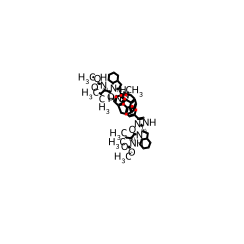 COC(=O)N[C@H](C(=O)N1C2CCCCC2C[C@H]1c1nc(-c2ccc(-c3cc4ccc3CCc3ccc(c(-c5c[nH]c([C@@H]6CC7CCCCC7N6C(=O)[C@@H](NC(=O)OC)C(C)C)n5)c3)C[C@H]4C)cc2)c[nH]1)C(C)C